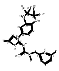 Cc1cccc(CN(C)C(=O)N=c2sc(C)cn2-c2ccc3c(c2)OC(F)(F)C(F)(F)O3)n1